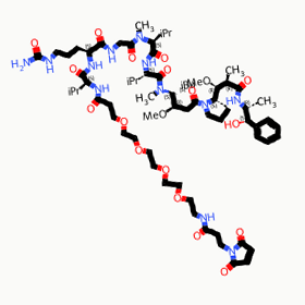 CC[C@H](C)[C@@H]([C@@H](CC(=O)N1CCC[C@H]1[C@H](OC)[C@@H](C)C(=O)N[C@H](C)[C@@H](O)c1ccccc1)OC)N(C)C(=O)[C@@H](NC(=O)[C@H](C(C)C)N(C)C(=O)CNC(=O)[C@H](CCCNC(N)=O)NC(=O)[C@@H](NC(=O)CCOCCOCCOCCOCCNC(=O)CCN1C(=O)C=CC1=O)C(C)C)C(C)C